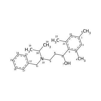 Cc1cc(C)c(C(O)CCN(Cc2ccccc2)C(C)C)c(C)c1